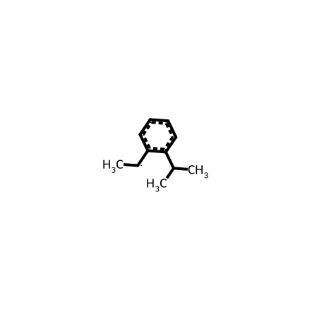 C[CH]c1ccccc1C(C)C